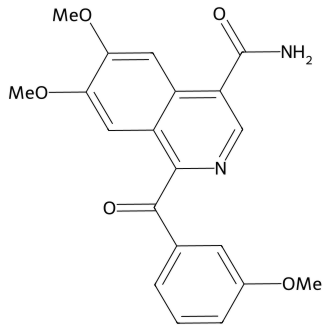 COc1cccc(C(=O)c2ncc(C(N)=O)c3cc(OC)c(OC)cc23)c1